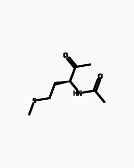 CSCC[C@H](NC(C)=O)C(C)=O